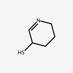 SC1C=NCCC1